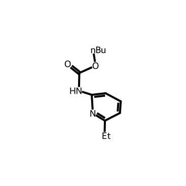 CCCCOC(=O)Nc1cccc(CC)n1